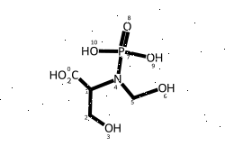 O=C(O)C(CO)N(CO)P(=O)(O)O